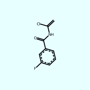 C=C(Cl)NC(=O)c1cccc(F)c1